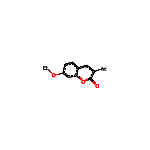 CCOc1ccc2cc(C(C)=O)c(=O)oc2c1